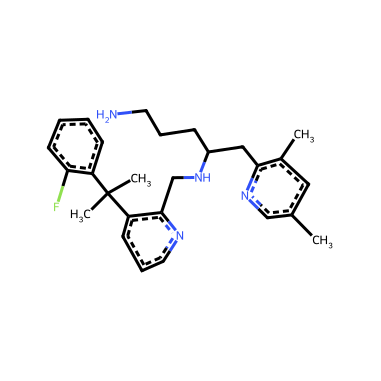 Cc1cnc(CC(CCCN)NCc2ncccc2C(C)(C)c2ccccc2F)c(C)c1